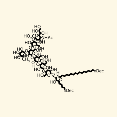 CCCCCCCCCCCCC/C=C/[C@@H](O)[C@H](CO[C@@H]1OC(CO)[C@@H](O[C@@H]2OC(CO)[C@H](O)[C@H](O[C@H]3OC(CO)[C@H](O)[C@H](O[C@@H]4OC(CO)[C@@H](O[C@@H]5OC(CO)[C@H](O)[C@H](O[C@]6(C(=O)O)CC(O)[C@@H](NC(C)=O)C([C@H](O)[C@H](O)CO)O6)C5O)[C@H](O[C@H]5OC(C)[C@@H](O)C(O)[C@@H]5O)C4NC(C)=O)C3O)C2O)[C@H](O)C1O)NC(=O)CCCCCCCCCCCCCCCCCCCCCCCCC